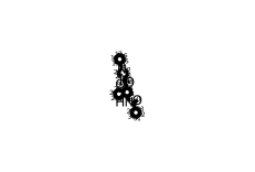 O=C(Nc1ccc(S(=O)(=O)N2CCN(c3ccccc3)CC2)c2ccccc12)c1ccccc1